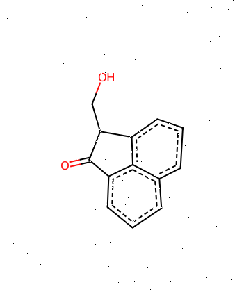 O=C1c2cccc3cccc(c23)C1CO